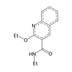 [CH2]CNC(=O)c1cc2ccccc2nc1OCC